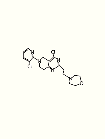 Clc1cccnc1N1CCc2nc(CCN3CCOCC3)nc(Cl)c2C1